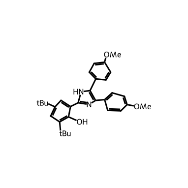 COc1ccc(-c2nc(-c3cc(C(C)(C)C)cc(C(C)(C)C)c3O)[nH]c2-c2ccc(OC)cc2)cc1